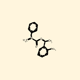 CC(OC(=O)N(C)c1ccccc1)c1ccccc1[N+](=O)[O-]